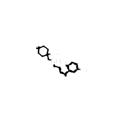 O=C(NCC1(O)CCC(F)(F)CC1)c1cc(=O)c2cc(O)ccc2o1